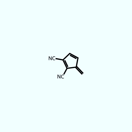 C=C1C=CC(C#N)=C1C#N